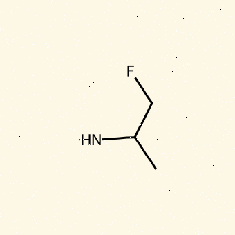 CC([NH])CF